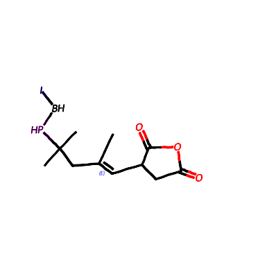 C/C(=C\C1CC(=O)OC1=O)CC(C)(C)PBI